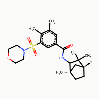 Cc1cc(C(=O)NC2C(C)(C)[C@@H]3CC[C@]2(C)C3)cc(S(=O)(=O)N2CCOCC2)c1C